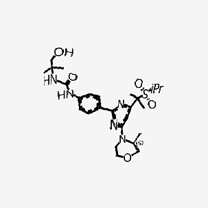 CC(C)S(=O)(=O)C(C)(C)c1cc(N2CCOC[C@@H]2C)nc(-c2ccc(NC(=O)NC(C)(C)CO)cc2)n1